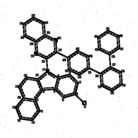 Clc1ccc2c(c1)c1c3ccccc3ccc1n2-c1nc2ccccc2nc1-c1ccc(-c2ccccc2-c2ccccc2)cc1